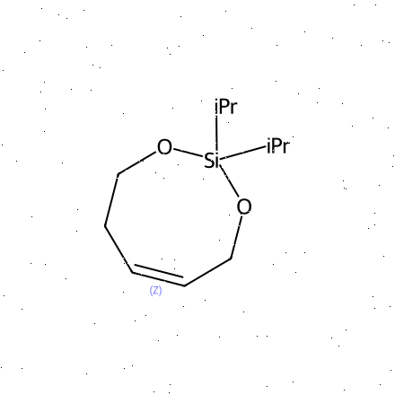 CC(C)[Si]1(C(C)C)OC/C=C\CCO1